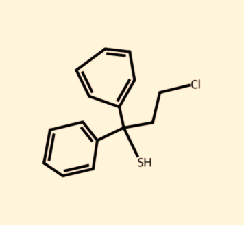 SC(CCCl)(c1ccccc1)c1ccccc1